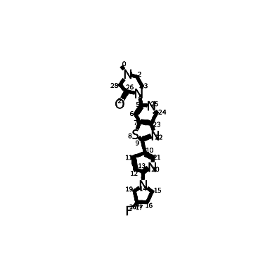 CN1CCN(c2cc3sc(-c4ccc(N5CC[C@@H](F)C5)nc4)nc3cn2)C(=O)C1